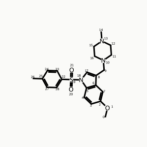 COc1ccc2c(c1)c(CN1CCN(C)CC1)cn2S(=O)(=O)c1ccc(C)cc1